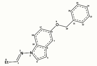 CCC=Nn1ccc2cc(OCc3ccccc3)ccc21